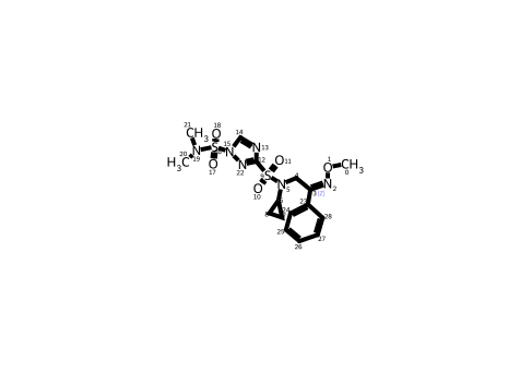 CO/N=C(\CN(C1CC1)S(=O)(=O)c1ncn(S(=O)(=O)N(C)C)n1)c1ccccc1